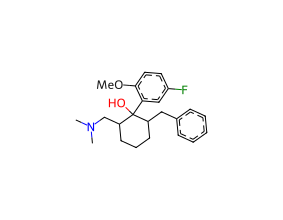 COc1ccc(F)cc1C1(O)C(Cc2ccccc2)CCCC1CN(C)C